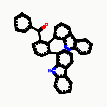 O=C(c1ccccc1)c1cccc(-c2cccc3c2[nH]c2ccccc23)c1-c1cccc2c1[nH]c1ccccc12